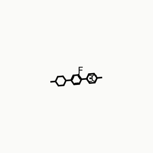 CC1CCC(c2ccc(C34CCC(C)(CC3)CC4)c(F)c2)CC1